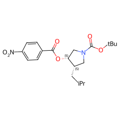 CC(C)C[C@H]1CN(C(=O)OC(C)(C)C)C[C@H]1OC(=O)c1ccc([N+](=O)[O-])cc1